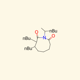 CCCCC1CCCCC(=O)N(C(C)CCCC)C(=O)C1CCCC